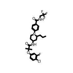 CCCC1CC(NC(=O)C(C)(C)Oc2ccc(Cl)c(F)c2)CCN1c1ccc(C(=O)NCC(F)(F)F)cc1